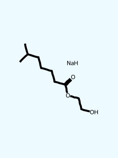 CC(C)CCCCC(=O)OCCO.[NaH]